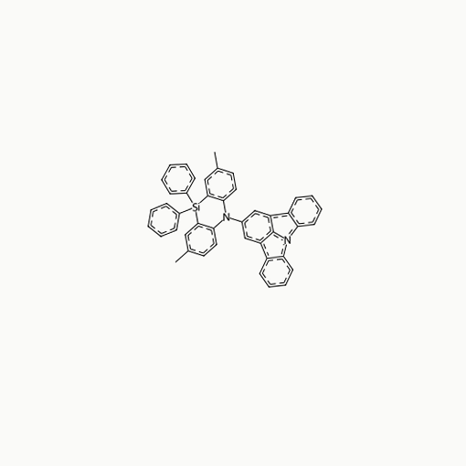 Cc1ccc2c(c1)[Si](c1ccccc1)(c1ccccc1)c1cc(C)ccc1N2c1cc2c3ccccc3n3c4ccccc4c(c1)c23